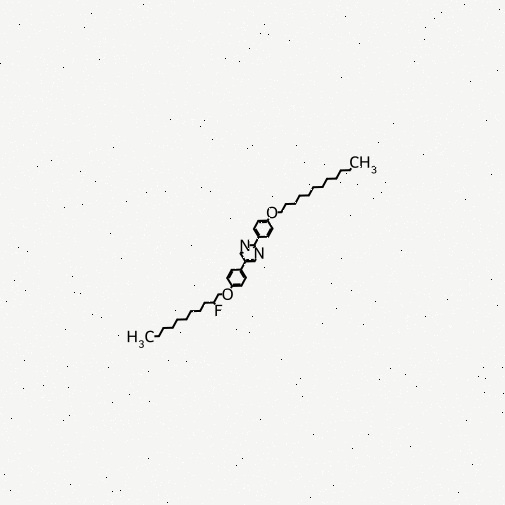 CCCCCCCCCCCCOc1ccc(-c2ncc(-c3ccc(OCC(F)CCCCCCCCC)cc3)cn2)cc1